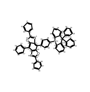 c1ccc(-c2nc3c(-c4ccc(N5c6ccccc6C(c6ccccc6)(c6ccccc6)c6ccccc65)cc4)c4oc(-c5ccccc5)nc4c(-c4ccccc4)c3o2)cc1